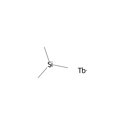 C[Si](C)C.[Tb]